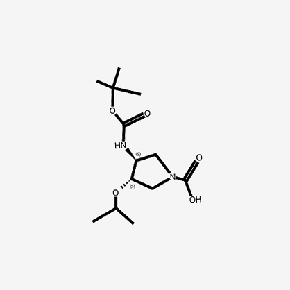 CC(C)O[C@H]1CN(C(=O)O)C[C@@H]1NC(=O)OC(C)(C)C